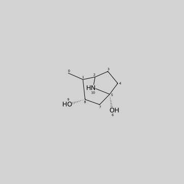 CC1C2CC[C@@](O)(C[C@@H]1O)N2